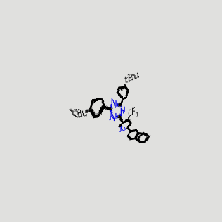 CC(C)(C)c1ccc(-c2nc(-c3ccc(C(C)(C)C)cc3)nc(-c3cnc(-c4ccc5c(c4)C4CCC5C4)cc3C(F)(F)F)n2)cc1